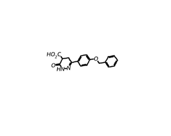 O=C(O)C1CC(c2ccc(OCc3ccccc3)cc2)=NNC1=O